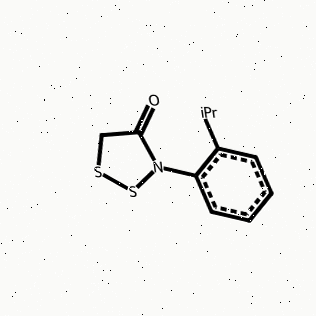 CC(C)c1ccccc1N1SSCC1=O